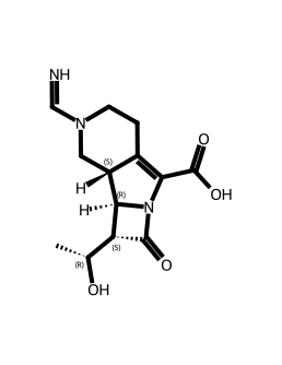 C[C@@H](O)[C@H]1C(=O)N2C(C(=O)O)=C3CCN(C=N)C[C@H]3[C@H]12